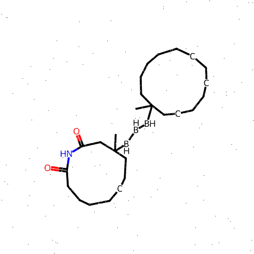 CC1(BBBC2(C)CCCCCCCC(=O)NC(=O)C2)CCCCCCCCCCCC1